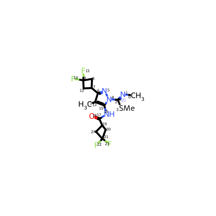 C/N=C(\SC)n1nc(C2CC(F)(F)C2)c(C)c1NC(=O)C1CC(F)(F)C1